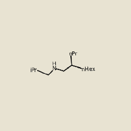 CCCCCCC(CCC)CNCC(C)C